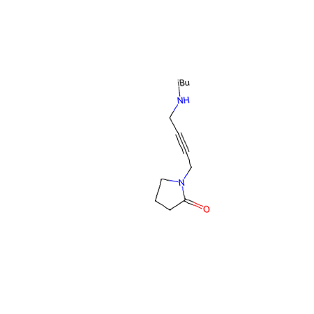 CCC(C)NCC#CCN1CCCC1=O